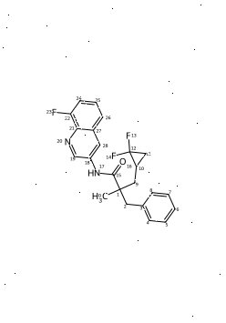 CC(Cc1ccccc1)(CC1CC1(F)F)C(=O)Nc1cnc2c(F)cccc2c1